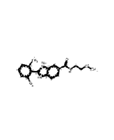 COCCNC(=O)c1ccc2nc(-c3c(C)cccc3Cl)[nH]c2c1